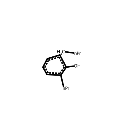 CCCC.CCCc1ccccc1O